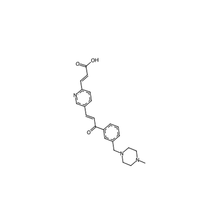 CN1CCN(Cc2cccc(C(=O)C=Cc3ccc(C=CC(=O)O)nc3)c2)CC1